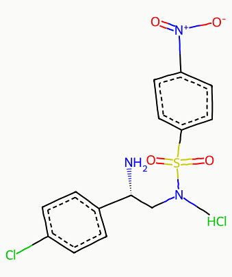 CN(C[C@@H](N)c1ccc(Cl)cc1)S(=O)(=O)c1ccc([N+](=O)[O-])cc1.Cl